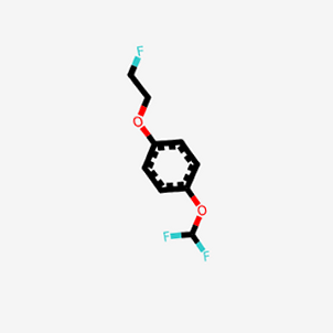 FCCOc1ccc(OC(F)F)cc1